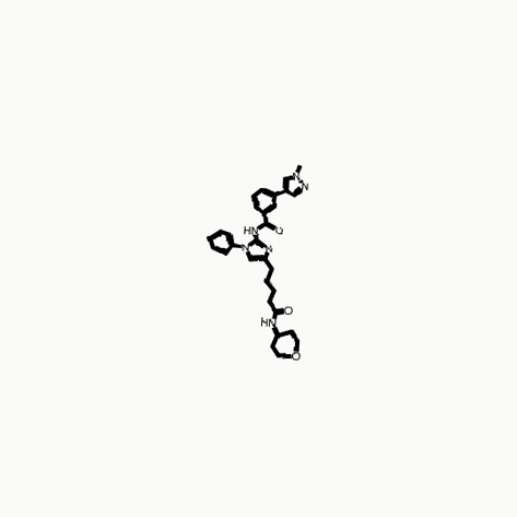 Cn1cc(-c2cccc(C(=O)Nc3nc(CCCCC(=O)NC4CCOCC4)cn3-c3ccccc3)c2)cn1